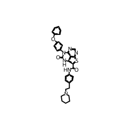 O=C(Nc1ccc(CCN2CCCCC2)cc1)c1sc2ncnc3c2c1NC(=O)N3c1ccc(Oc2ccccc2)cc1